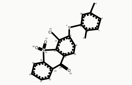 Cc1ccc(C)c(Sc2ccc3c(c2Cl)S(=O)(=O)c2ccccc2C3=O)c1